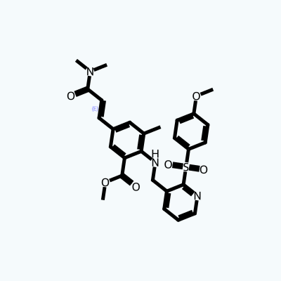 COC(=O)c1cc(/C=C/C(=O)N(C)C)cc(C)c1NCc1cccnc1S(=O)(=O)c1ccc(OC)cc1